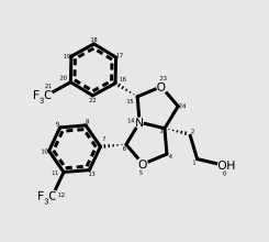 OCC[C@]12CO[C@H](c3cccc(C(F)(F)F)c3)N1[C@H](c1cccc(C(F)(F)F)c1)OC2